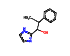 O=C(O)C(c1ccccc1)C(O)c1ncc[nH]1